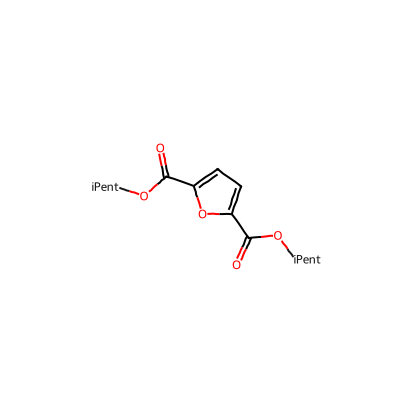 CCCC(C)OC(=O)c1ccc(C(=O)OC(C)CCC)o1